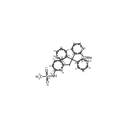 COc1ncccc1C(Cc1cccc(NS(C)(=O)=O)n1)(c1cccnc1)c1cccnc1